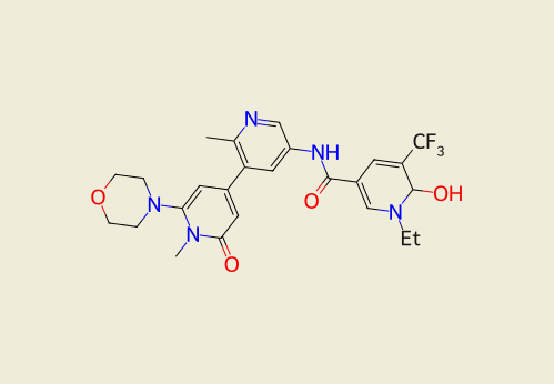 CCN1C=C(C(=O)Nc2cnc(C)c(-c3cc(N4CCOCC4)n(C)c(=O)c3)c2)C=C(C(F)(F)F)C1O